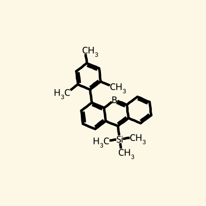 Cc1cc(C)c(-c2cccc3c([Si](C)(C)C)c4ccccc4bc23)c(C)c1